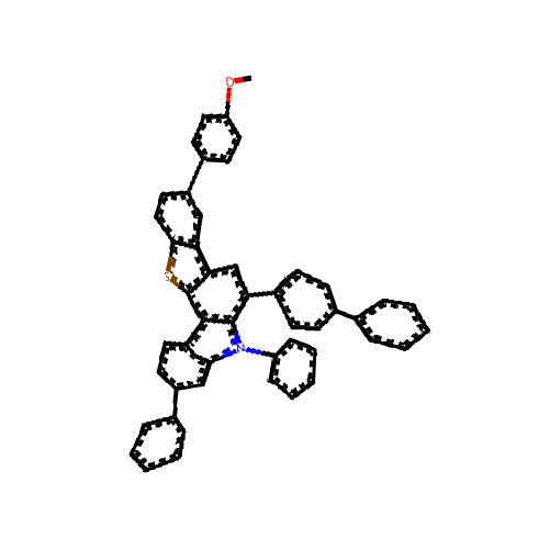 COc1ccc(-c2ccc3sc4c(cc(-c5ccc(-c6ccccc6)cc5)c5c4c4ccc(-c6ccccc6)cc4n5-c4ccccc4)c3c2)cc1